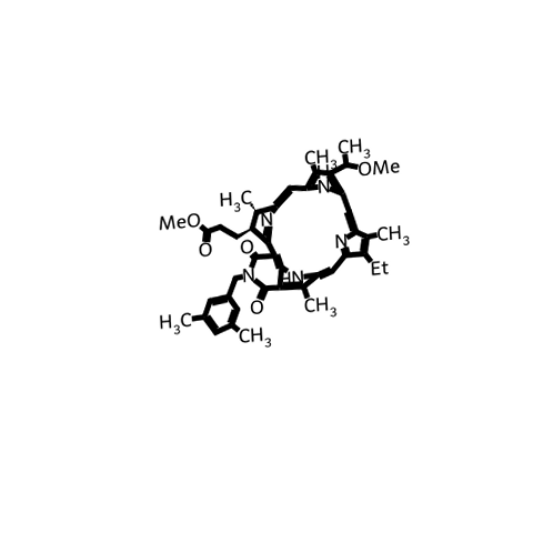 CCC1=C(C)c2cc3[nH]c(cc4nc(c5c6[nH]c(cc1n2)c(C)c6C(=O)N(Cc1cc(C)cc(C)c1)C5=O)[C@@H](CCC(=O)OC)[C@@H]4C)c(C)c3C(C)OC